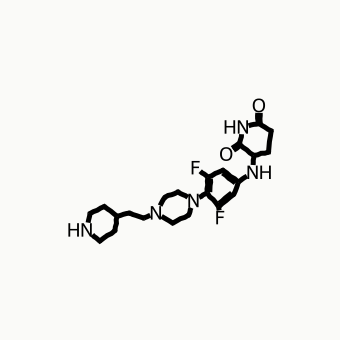 O=C1CCC(Nc2cc(F)c(N3CCN(CCC4CCNCC4)CC3)c(F)c2)C(=O)N1